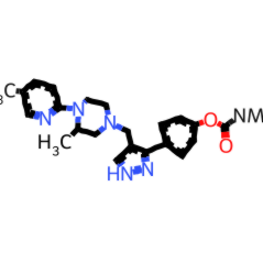 CNC(=O)Oc1ccc(-c2n[nH]cc2CN2CCN(c3ccc(C(F)(F)F)cn3)C(C)C2)cc1